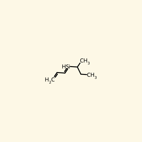 C=CC=[SiH]C(C)CC